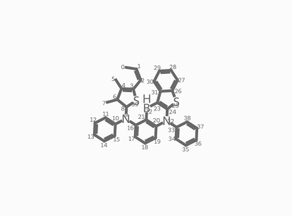 C/C=C\C1=C(C)C(C)C(N(c2ccccc2)c2cccc3c2Bc2c(sc4ccccc24)N3c2ccccc2)S1